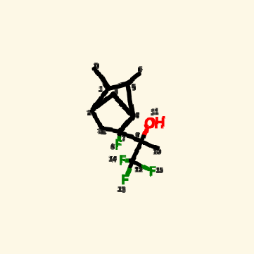 CC1C2CC(C1C)C(F)(C(C)(O)C(F)(F)F)C2